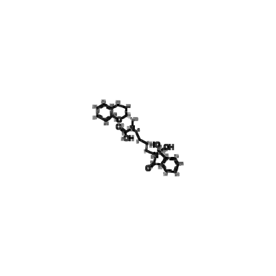 O=C(O)N(CCCCN1C(=O)c2ccccc2S1(O)O)C[C@H]1CCc2ccccc2O1